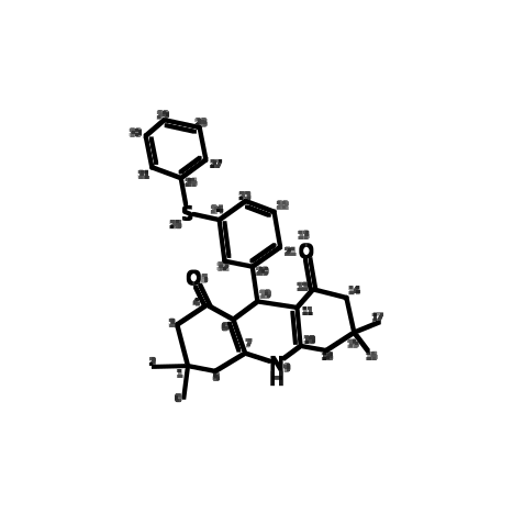 CC1(C)CC(=O)C2=C(C1)NC1=C(C(=O)CC(C)(C)C1)C2c1cccc(Sc2ccccc2)c1